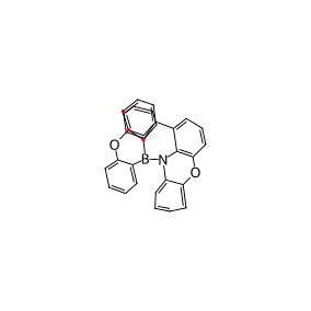 c1ccc(-c2cccc3c2N(B2c4ccccc4Oc4ccccc42)c2ccccc2O3)cc1